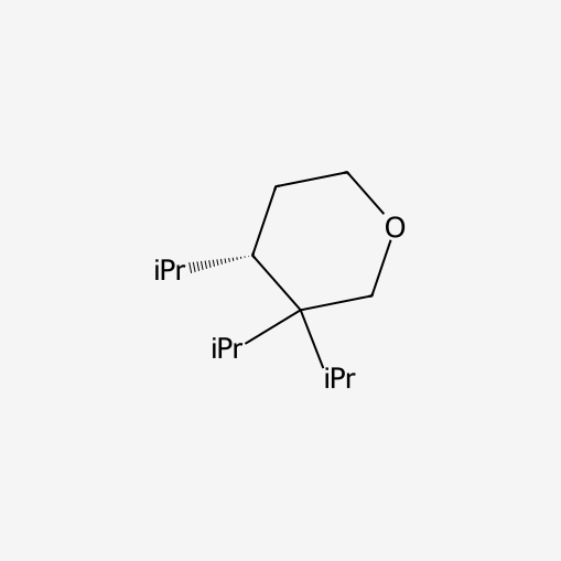 CC(C)[C@@H]1CCOCC1(C(C)C)C(C)C